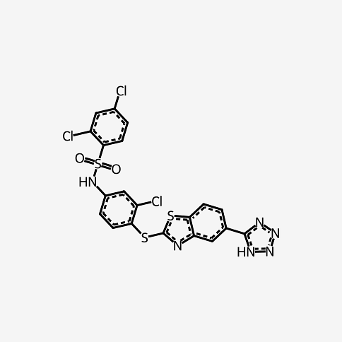 O=S(=O)(Nc1ccc(Sc2nc3cc(-c4nnn[nH]4)ccc3s2)c(Cl)c1)c1ccc(Cl)cc1Cl